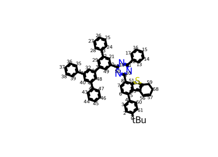 CC(C)(C)c1ccc(-c2ccc(-c3nc(-c4ccccc4)nc(-c4cc(-c5ccccc5)cc(-c5cc(-c6ccccc6)cc(-c6ccccc6)c5)c4)n3)c3sc4c(c23)C=CCC4)cc1